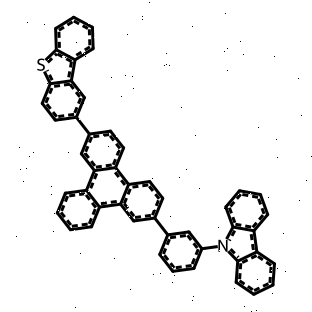 c1cc(-c2ccc3c4ccc(-c5ccc6sc7ccccc7c6c5)cc4c4ccccc4c3c2)cc(-n2c3ccccc3c3ccccc32)c1